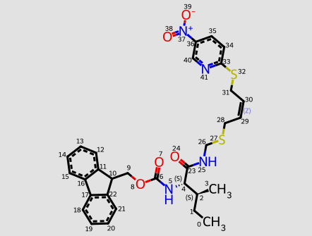 CC[C@H](C)[C@H](NC(=O)OCC1c2ccccc2-c2ccccc21)C(=O)NCSC/C=C\CSc1ccc([N+](=O)[O-])cn1